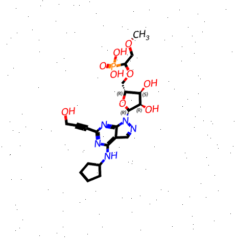 COCC(OC[C@H]1O[C@@H](n2ncc3c(NC4CCCC4)nc(C#CCO)nc32)[C@H](O)[C@@H]1O)P(=O)(O)O